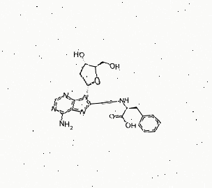 Nc1ncnc2c1nc(C#CN[C@@H](Cc1ccccc1)C(=O)O)n2[C@@H]1C[C@H](O)[C@@H](CO)O1